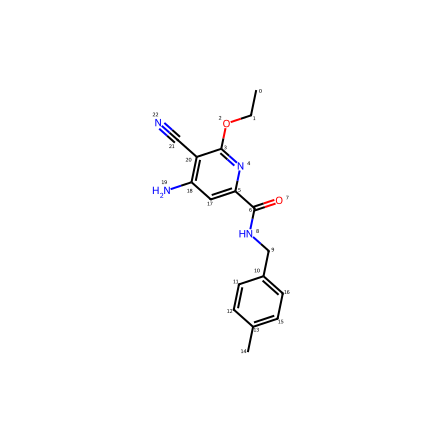 CCOc1nc(C(=O)NCc2ccc(C)cc2)cc(N)c1C#N